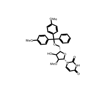 COc1ccc(C(OC[C@@H]2O[C@H](n3ccc(=O)[nH]c3=O)C(OC)C2O)(c2ccccc2)c2ccc(OC)cc2)cc1